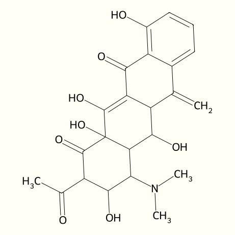 C=C1c2cccc(O)c2C(=O)C2=C(O)C3(O)C(=O)C(C(C)=O)C(O)C(N(C)C)C3C(O)C12